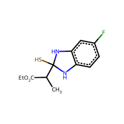 CCOC(=O)C(C)C1(S)Nc2ccc(F)cc2N1